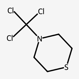 ClC(Cl)(Cl)N1CCSCC1